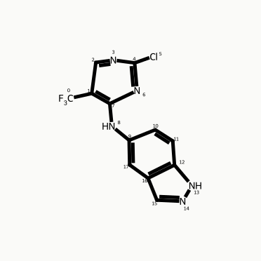 FC(F)(F)c1cnc(Cl)nc1Nc1ccc2[nH]ncc2c1